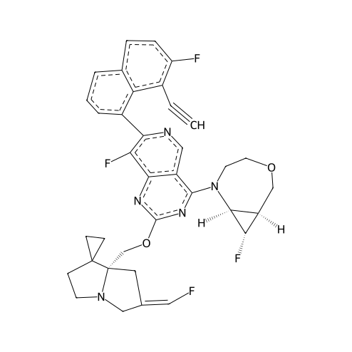 C#Cc1c(F)ccc2cccc(-c3ncc4c(N5CCOC[C@H]6[C@H](F)[C@H]65)nc(OC[C@]56C/C(=C\F)CN5CCC65CC5)nc4c3F)c12